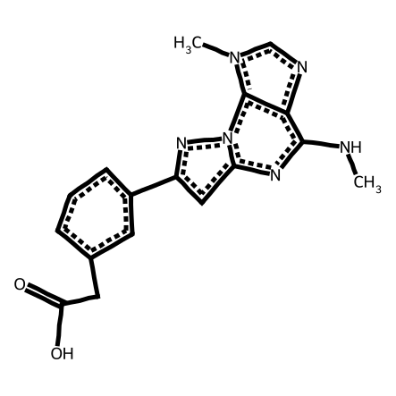 CNc1nc2cc(-c3cccc(CC(=O)O)c3)nn2c2c1ncn2C